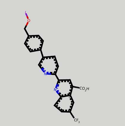 O=C(O)c1cc(-c2ccc(-c3ccc(COI)cc3)cn2)nc2ccc(C(F)(F)F)cc12